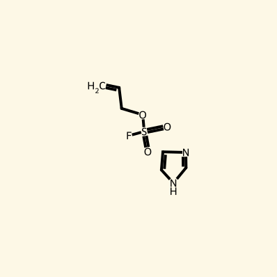 C=CCOS(=O)(=O)F.c1c[nH]cn1